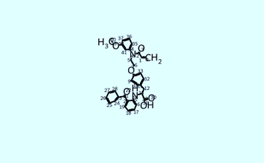 C=CC(=O)N(CCOc1ccc(CC(Nc2ccccc2C(=O)c2ccccc2)C(=O)O)cc1)c1cccc(OC)c1